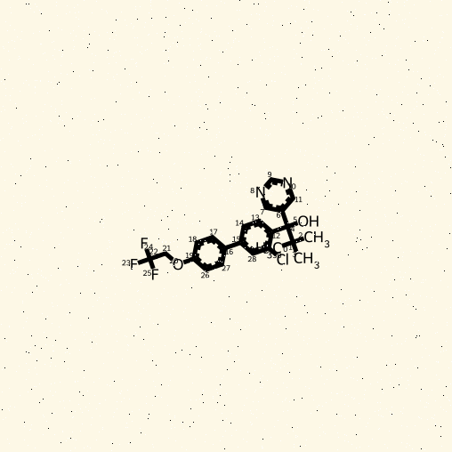 CC(C)(C)C(O)(c1cncnc1)c1ccc(-c2ccc(OCC(F)(F)F)cc2)cc1Cl